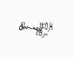 O=C(O)CNC(=O)N[C@@H](CCCCNCc1ccccc1Cl)C(=O)O